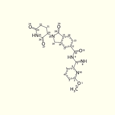 COc1cccc(C(=N)NC(=O)c2ccc3c(c2)CN(C2CCC(=O)NC2=O)C3=O)n1